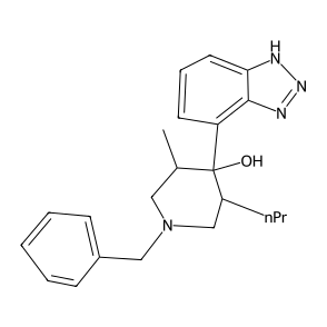 CCCC1CN(Cc2ccccc2)CC(C)C1(O)c1cccc2[nH]nnc12